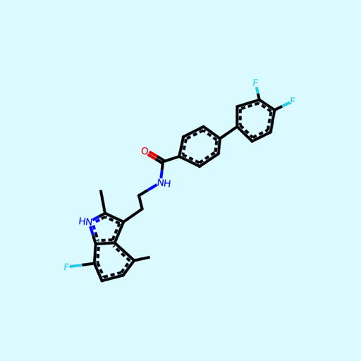 Cc1[nH]c2c(F)ccc(C)c2c1CCNC(=O)c1ccc(-c2ccc(F)c(F)c2)cc1